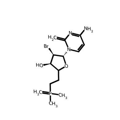 C=C1N=C(N)C=CN1[C@@H]1OC(CCP(=C)(C)C)[C@@H](O)[C@H]1Br